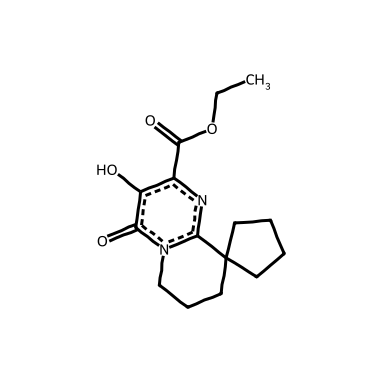 CCOC(=O)c1nc2n(c(=O)c1O)CCCC21CCCC1